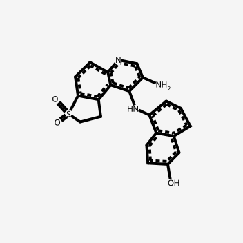 Nc1cnc2ccc3c(c2c1Nc1cccc2cc(O)ccc12)CCS3(=O)=O